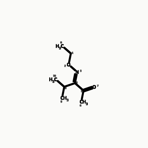 CCO/N=C(/C(C)=O)C(C)C